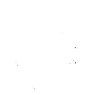 Cn1nc(-c2ccccc2)c2c1OC(N)=C(C#N)C2c1ccc(C(F)(F)F)cc1